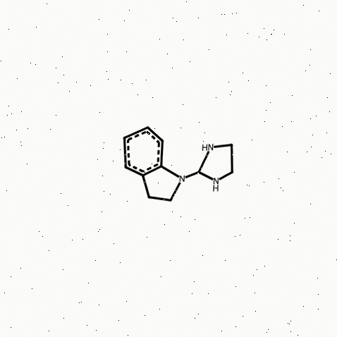 c1ccc2c(c1)CCN2C1NCCN1